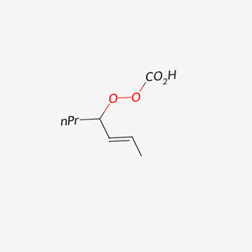 CC=CC(CCC)OOC(=O)O